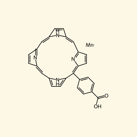 O=C(O)c1ccc(-c2c3nc(cc4ccc(cc5nc(cc6ccc2[nH]6)C=C5)[nH]4)C=C3)cc1.[Mn]